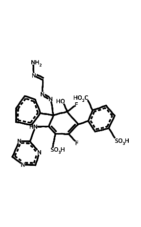 NN=CN=NC1(c2ccccc2)C(Nc2ncncn2)=C(S(=O)(=O)O)C(F)=C(c2cc(S(=O)(=O)O)ccc2C(=O)O)C1(O)F